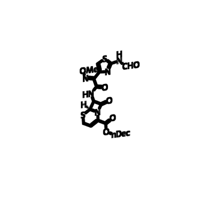 CCCCCCCCCCOC(=O)C1=CCS[C@H]2C(NC(=O)C(=NOC)c3csc(NC=O)n3)C(=O)N12